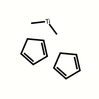 C1=CCC=C1.C1=CCC=C1.[CH3][Ti][CH3]